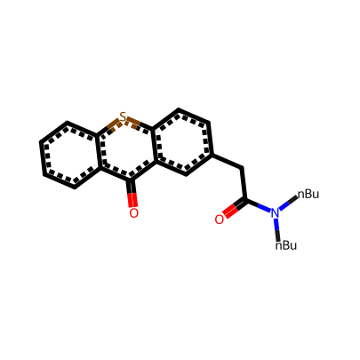 CCCCN(CCCC)C(=O)Cc1ccc2sc3ccccc3c(=O)c2c1